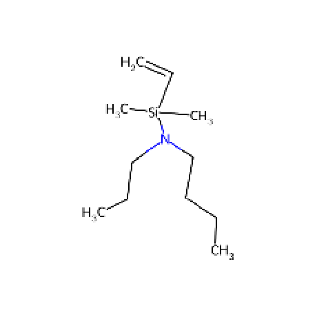 C=C[Si](C)(C)N(CCC)CCCC